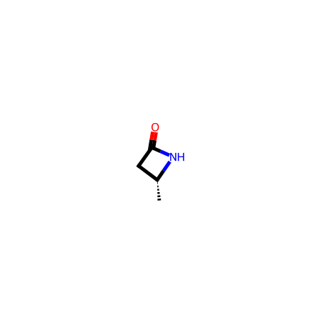 C[C@@H]1CC(=O)N1